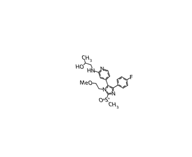 COCCn1c([S+](C)[O-])nc(-c2ccc(F)cc2)c1-c1ccnc(NCC(C)O)c1